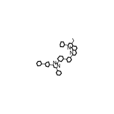 CCc1cc(-c2ccccc2)nc2c1ccc1ccc(-c3cccc(-c4cccc(-c5nc(-c6ccccc6)cc(-c6ccc(-c7ccccc7)cc6)n5)c4)c3)nc12